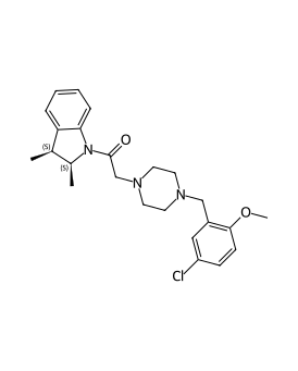 COc1ccc(Cl)cc1CN1CCN(CC(=O)N2c3ccccc3[C@H](C)[C@@H]2C)CC1